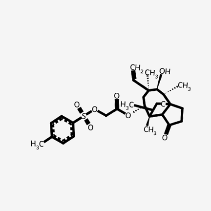 C=C[C@]1(C)C[C@@H](OC(=O)COS(=O)(=O)c2ccc(C)cc2)[C@]2(C)C(C)CCC3(CCC(=O)C32)[C@@H](C)[C@@H]1O